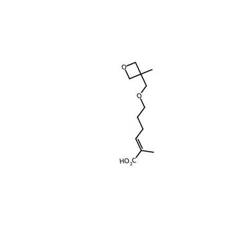 CC(=CCCCOCC1(C)COC1)C(=O)O